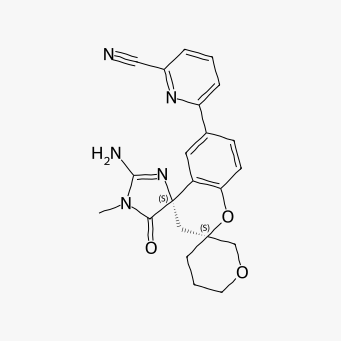 CN1C(=O)[C@@]2(C[C@]3(CCCOC3)Oc3ccc(-c4cccc(C#N)n4)cc32)N=C1N